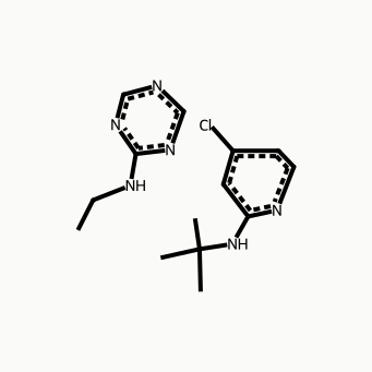 CC(C)(C)Nc1cc(Cl)ccn1.CCNc1ncncn1